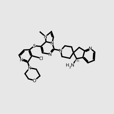 CN1C=CN2C(N3CCC4(CC3)Cc3ncccc3[C@H]4N)=NC=C(Sc3ccnc(N4CCOCC4)c3Cl)C12